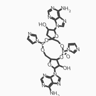 Nc1ncnc2c1ncn2C1OC2(COP(=O)(n3ccnc3)OC3C(COP(n4ccnc4)O2)OC(n2cnc4c(N)ncnc42)C3O)CC1O